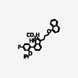 CC(C)Oc1cc(F)ccc1-c1cccc2c(CCCOc3cccc4ccccc34)c(C(=O)O)[nH]c12